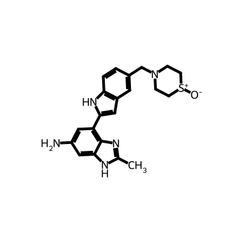 Cc1nc2c(-c3cc4cc(CN5CC[S+]([O-])CC5)ccc4[nH]3)cc(N)cc2[nH]1